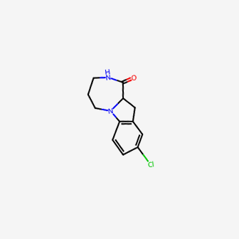 O=C1NCCCN2c3ccc(Cl)cc3CC12